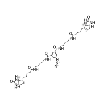 [N-]=[N+]=Nc1cc(C(=O)NCCCCCNC(=O)CCCC[C@@H]2SC[C@@H]3NC(=O)N[C@@H]32)cc(C(=O)NCCCCCNC(=O)CCCC[C@@H]2SC[C@@H]3NC(=O)N[C@@H]32)c1